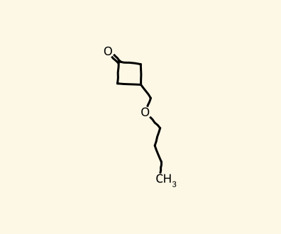 CCCCOCC1CC(=O)C1